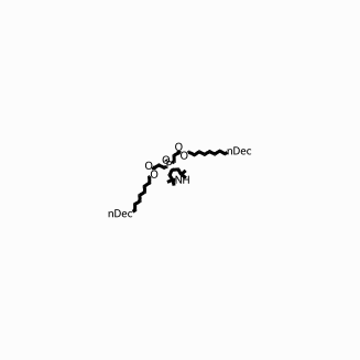 CCCCCCCCCCCCCCCCCCOC(=O)CCP(=O)(CCC(=O)OCCCCCCCCCCCCCCCCCC)C1CC(C)(C)NC(C)(C)C1